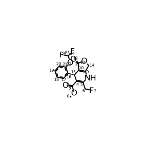 COC(=O)C1=C(CF)NC2=C(C(=O)OC2)[C@@H]1c1ccccc1OC(F)F